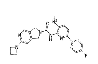 Nc1ccc(-c2ccc(F)cc2)nc1NC(=O)N1Cc2cnc(N3CCC3)cc2C1